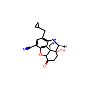 N#Cc1cc(CC2CC2)c2c3c1OC1C(=O)CC[C@@]4(O)[C@@H](C2)NCC[C@]314